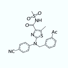 CC(=O)c1cccc(CN(c2ccc(C#N)cc2)c2nc(C(=O)NS(C)(=O)=O)c(C)s2)c1